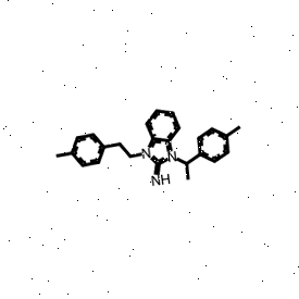 Cc1ccc(CCn2c(=N)n(C(C)c3ccc(C)cc3)c3ccccc32)cc1